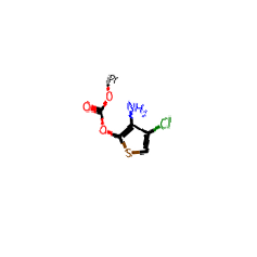 CC(C)OC(=O)Oc1scc(Cl)c1N